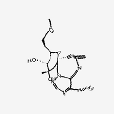 C=C/N=c1/c(N)ncnn1[C@]1(C#N)O[C@H](COC)[C@@H](O)[C@@]1(C)O